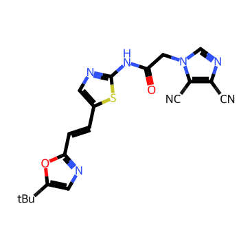 CC(C)(C)c1cnc(C=Cc2cnc(NC(=O)Cn3cnc(C#N)c3C#N)s2)o1